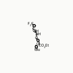 CCOC(=O)[C@H](Cc1ccc(OCCN[C@H]2C3CN(Cc4cccc(C(F)(F)F)c4)C[C@@H]32)cc1)Oc1ccc(C(C)(C)C)cc1